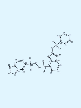 CC(C)(Cc1nc2c(C(C)(C)CCC(C)(C)c3ccn4nccc4n3)nccn2n1)c1cnccn1